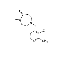 CN1CCN(Cc2ccnc(N)c2Cl)CCC1=O